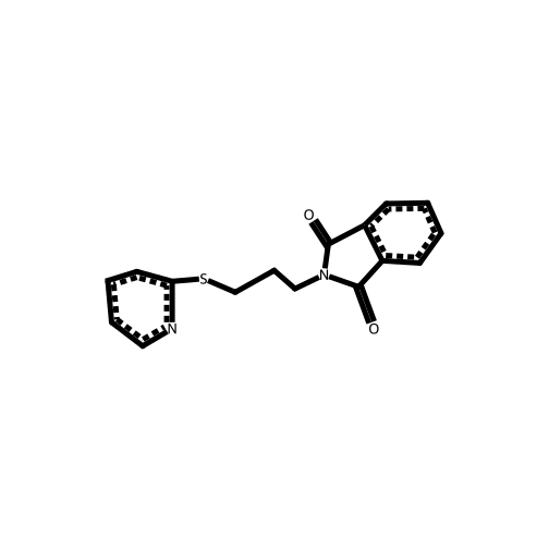 O=C1c2ccccc2C(=O)N1CCCSc1ccccn1